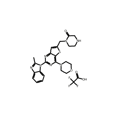 Cc1nc2ccccc2n1-c1nc(N2CCOCC2)c2sc(CN3CCNCC3=O)cc2n1.O=C(O)C(F)(F)F